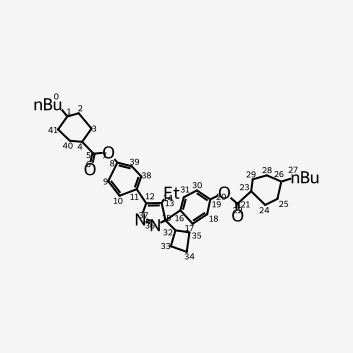 CCCCC1CCC(C(=O)Oc2ccc(C3=C(CC)C(c4ccc(OC(=O)C5CCC(CCCC)CC5)cc4)(C4CCC4)N=N3)cc2)CC1